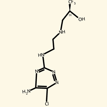 Nc1nc(NCCNC[C@H](O)C(F)(F)F)nnc1Cl